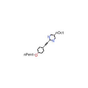 CCCCCCCCc1cnc(C#Cc2ccc(OCCCCC)cc2)nc1